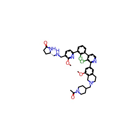 COc1cc(-c2nccc(-c3cccc(-c4ccc(CNC[C@@H]5CCC(=O)N5)c(OC)n4)c3Cl)c2Cl)cc2c1CN(CC1CCN(C(C)=O)CC1)CC2